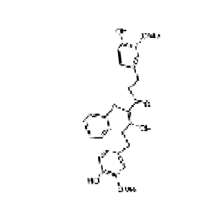 COc1cc(CCC(=O)/C(Cc2ccccc2)=C(\O)CCc2ccc(O)c(OC)c2)ccc1O